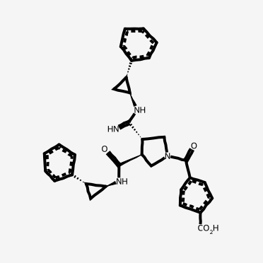 N=C(N[C@H]1C[C@@H]1c1ccccc1)[C@@H]1CN(C(=O)c2ccc(C(=O)O)cc2)C[C@H]1C(=O)N[C@H]1C[C@@H]1c1ccccc1